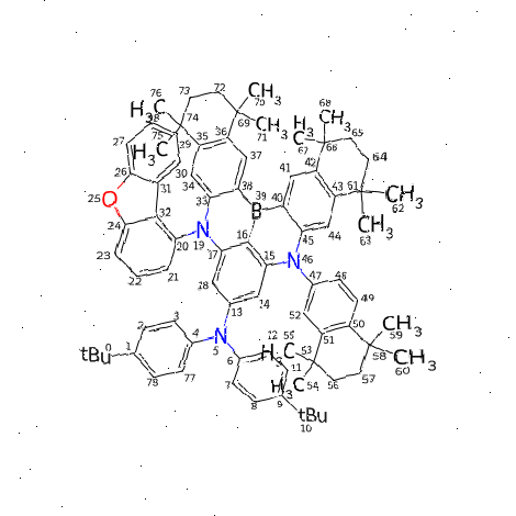 CC(C)(C)c1ccc(N(c2ccc(C(C)(C)C)cc2)c2cc3c4c(c2)N(c2cccc5oc6ccccc6c25)c2cc5c(cc2B4c2cc4c(cc2N3c2ccc3c(c2)C(C)(C)CCC3(C)C)C(C)(C)CCC4(C)C)C(C)(C)CCC5(C)C)cc1